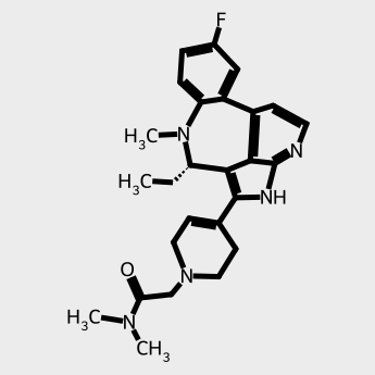 CC[C@H]1c2c(C3=CCN(CC(=O)N(C)C)CC3)[nH]c3nccc(c23)-c2cc(F)ccc2N1C